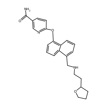 NC(=O)c1ccc(Oc2cccc3c(CNCCC4CCCO4)cccc23)nc1